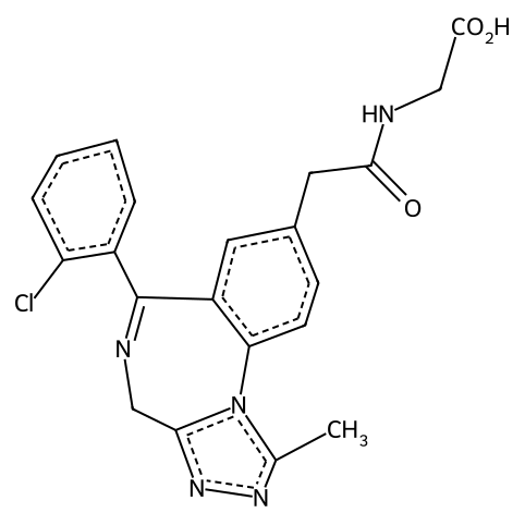 Cc1nnc2n1-c1ccc(CC(=O)NCC(=O)O)cc1C(c1ccccc1Cl)=NC2